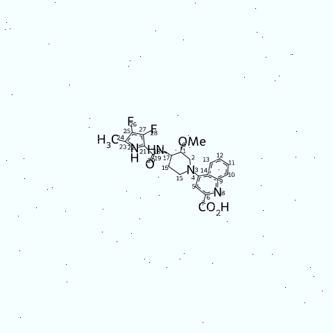 CO[C@H]1CN(c2cc(C(=O)O)nc3ccccc23)CC[C@H]1NC(=O)c1[nH]c(C)c(F)c1F